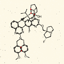 COc1ccc(CN(Cc2ccc(OC)cc2)c2nc(-c3c(F)cc4c(N5CC6CCC(C5)N6C(=O)O)nc(OC[C@@]56CCCN5C[C@H](F)C6)nc4c3F)c3c(C#C[Si](C(C)C)(C(C)C)C(C)C)cccc3n2)cc1